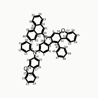 C1=c2c(c3ccc(N(c4ccccc4)c4ccc5c(c4)oc4ccccc45)cc3n2-c2cc3ccccc3c3ccccc23)=C(c2ccccc2)C2c3ccccc3OC12